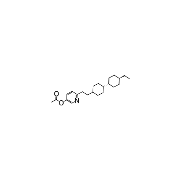 CC[C@H]1CC[C@H](C2CCC(CCc3ccc(OC(C)=O)cn3)CC2)CC1